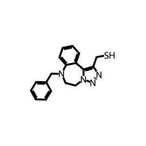 SCc1nnn2c1-c1ccccc1N(Cc1ccccc1)CC2